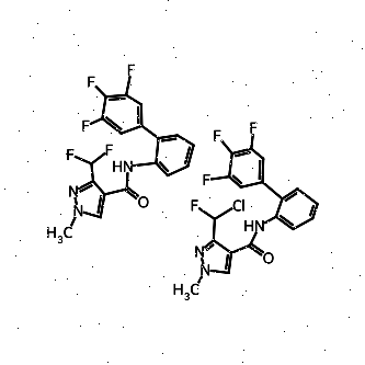 Cn1cc(C(=O)Nc2ccccc2-c2cc(F)c(F)c(F)c2)c(C(F)Cl)n1.Cn1cc(C(=O)Nc2ccccc2-c2cc(F)c(F)c(F)c2)c(C(F)F)n1